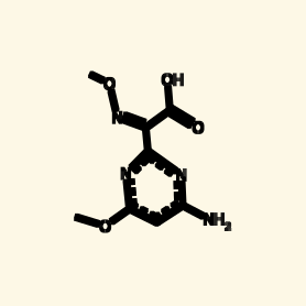 CO/N=C(\C(=O)O)c1nc(N)cc(OC)n1